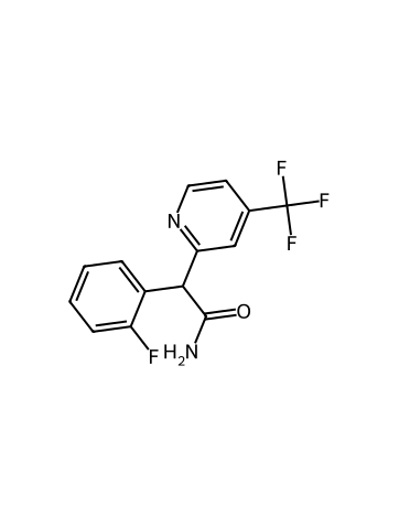 NC(=O)C(c1cc(C(F)(F)F)ccn1)c1ccccc1F